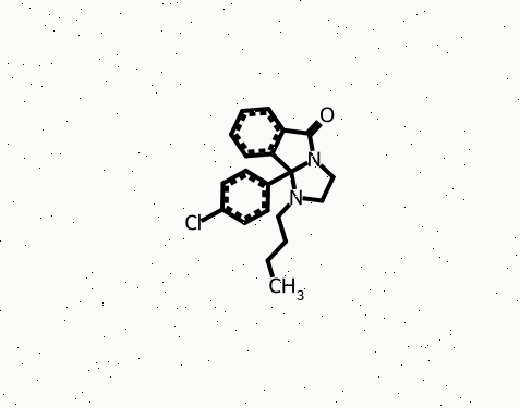 CCCCN1CCN2C(=O)c3ccccc3C12c1ccc(Cl)cc1